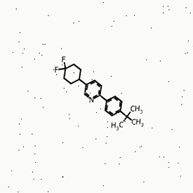 CC(C)(C)c1ccc(-c2ccc(C3CCC(F)(F)CC3)cn2)cc1